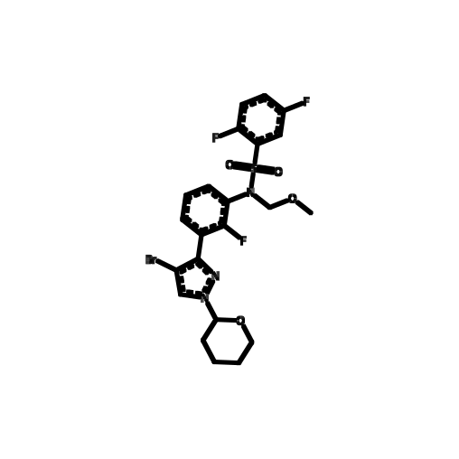 COCN(c1cccc(-c2nn(C3CCCCO3)cc2Br)c1F)S(=O)(=O)c1cc(F)ccc1F